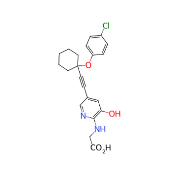 O=C(O)CNc1ncc(C#CC2(Oc3ccc(Cl)cc3)CCCCC2)cc1O